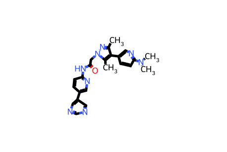 Cc1nn(CC(=O)Nc2ccc(-c3cncnc3)cn2)c(C)c1-c1ccc(N(C)C)nc1